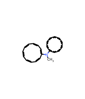 CN(C1=C/C=C\C=C/C=C\C=C/C=C\1)c1ccccccccc1